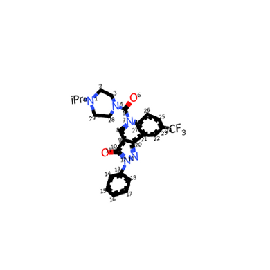 CC(C)N1CCN(C(=O)n2cc3c(=O)n(-c4ccccc4)nc-3c3cc(C(F)(F)F)ccc32)CC1